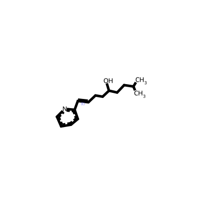 CC(C)CCC(O)CC/C=C/c1ccccn1